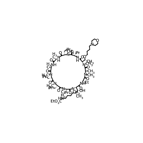 CCOC(=O)NCCCC[C@@H](C)[C@@H](O)[C@H]1C(=O)N[C@@H](CC)C(=O)N(C)[C@H](C)C(=O)N(C)[C@@H]([C@@H](C)OCCCCN2CCOCC2)C(=O)N[C@@H](C(C)C)C(=O)N(C)[C@@H](CC(C)C)C(=O)N[C@@H](C)C(=O)N[C@H](C)C(=O)N(C)[C@@H](CC(C)C)C(=O)N(C)[C@@H](CC(C)C)C(=O)N(C)[C@@H](C(C)C)C(=O)N1C